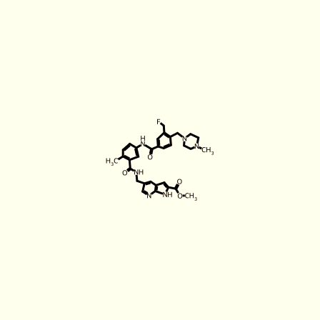 COC(=O)c1cc2cc(CNC(=O)c3cc(NC(=O)c4ccc(CN5CCN(C)CC5)c(CF)c4)ccc3C)cnc2[nH]1